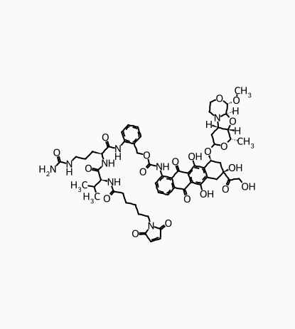 CO[C@H]1OCCN2[C@@H]1O[C@@H]1[C@H](C)OC(O[C@H]3C[C@](O)(C(=O)CO)Cc4c(O)c5c(c(O)c43)C(=O)c3c(NC(=O)OCc4ccccc4NC(=O)[C@H](CCCNC(N)=O)NC(=O)[C@@H](NC(=O)CCCCCN4C(=O)C=CC4=O)C(C)C)cccc3C5=O)C[C@@H]12